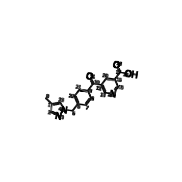 Cc1cnn(Cc2ccc(C(=O)c3cncc(C(=O)O)c3)cc2)c1